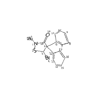 CC(C)(C)N1SC(Br)C(c2ccccc2)(c2ccccc2)C1=O